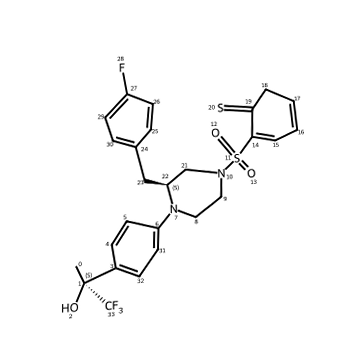 C[C@](O)(c1ccc(N2CCN(S(=O)(=O)C3=CC=CCC3=S)C[C@@H]2Cc2ccc(F)cc2)cc1)C(F)(F)F